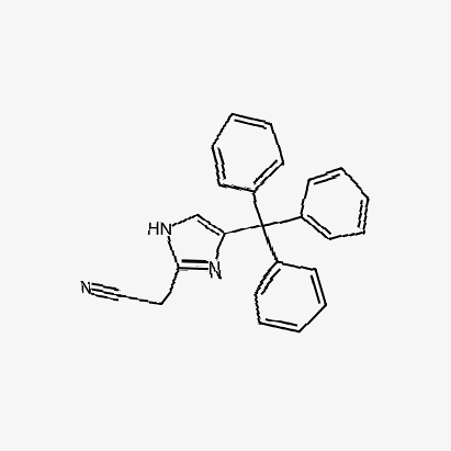 N#CCc1nc(C(c2ccccc2)(c2ccccc2)c2ccccc2)c[nH]1